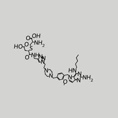 CCCCCNc1nc(N)nc2ccn(Cc3ccc(CN4CCN(CCn5cc(CNC(=O)[C@@H](CC(=O)O)SC[C@H](N)C(=O)O)nn5)CC4)cc3OC)c12